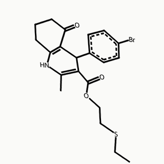 CCSCCOC(=O)C1=C(C)NC2=C(C(=O)CCC2)C1c1ccc(Br)cc1